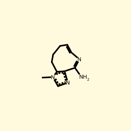 Cn1cnc2c1CCC/C=C/N=C\2N